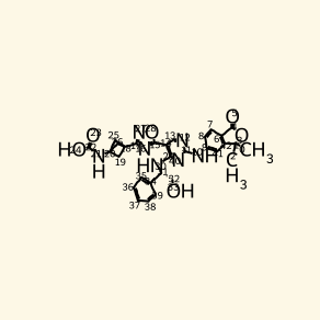 CC1(C)OC(=O)c2ccc(Nc3ncc(-c4nc(C56CC(NC(=O)O)(C5)C6)no4)c(N[C@H](CO)c4ccccc4)n3)cc21